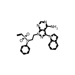 C=CS(=O)(=O)N(CCn1nc(-n2ccc3ccccc32)c2c(N)ncnc21)c1ccccc1